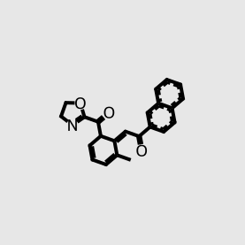 CC1=CC=CC(C(=O)C2=NCCO2)C1=CC(=O)c1ccc2ccccc2c1